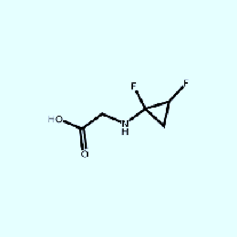 O=C(O)CNC1(F)CC1F